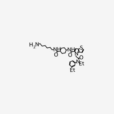 CCc1cccc(N(CC)C(=O)Cn2c(C(=O)NC3CCC(C(=O)NCCCCCCN)CC3)cc3sccc32)c1